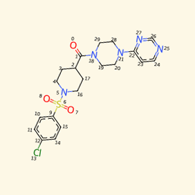 O=C(C1CCN(S(=O)(=O)c2ccc(Cl)cc2)CC1)N1CCN(c2ccncn2)CC1